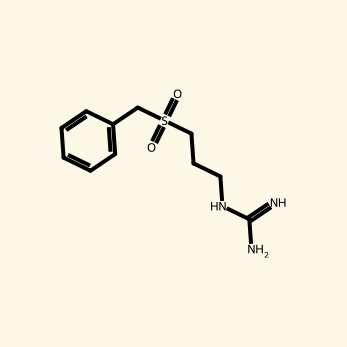 N=C(N)NCCCS(=O)(=O)Cc1ccccc1